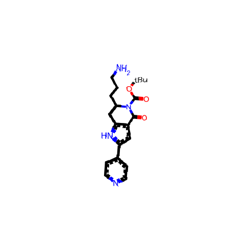 CC(C)(C)OC(=O)N1C(=O)c2cc(-c3ccncc3)[nH]c2CC1CCCN